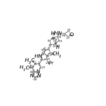 Cc1c(-c2[nH]c3sc(C4C[C@@H]5C[C@H]4CC5NC4COC4)c(C)c3c2C(C)C)cn2ncnc2c1C